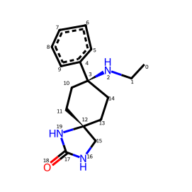 CCN[C@]1(c2ccccc2)CC[C@@]2(CC1)CNC(=O)N2